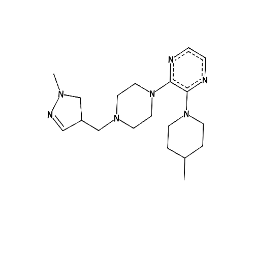 CC1CCN(c2nccnc2N2CCN(CC3C=NN(C)C3)CC2)CC1